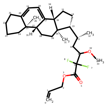 C=CCOC(=O)C(F)(F)C(C[C@@H](C)[C@H]1CC[C@H]2C3=CC=C4CCCC[C@]4(C)[C@H]3CC[C@]12C)O[SiH3]